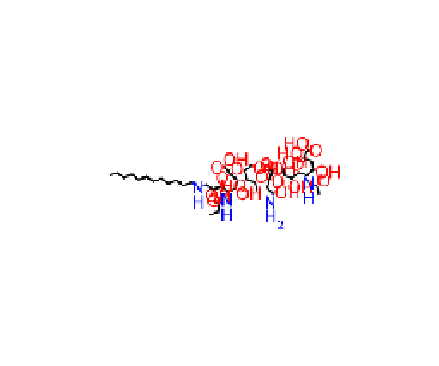 CCCCCCCCCCCCNCC(O)C1OC(OC(CO)C(O)C(C)OC(CC(N)O)(OC(CO)C(O)C2OC(O)(C(=O)O)CC(O)C2NC(C)=O)C(=O)O)(C(=O)O)CC(O)C1NC(=O)CC